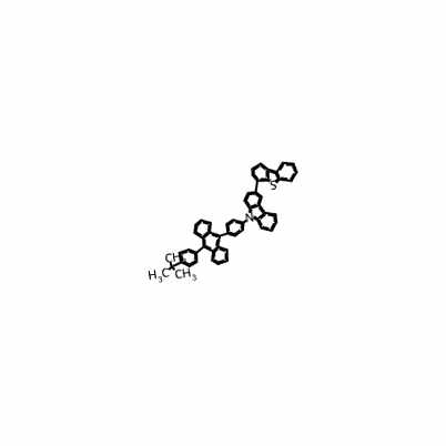 CC(C)(C)c1ccc(-c2c3ccccc3c(-c3ccc(-n4c5ccccc5c5cc(-c6cccc7c6sc6ccccc67)ccc54)cc3)c3ccccc23)cc1